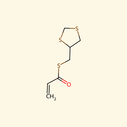 C=CC(=O)SCC1CSCS1